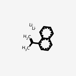 C=C(C)c1cccc2ccccc12.[Li].[Li]